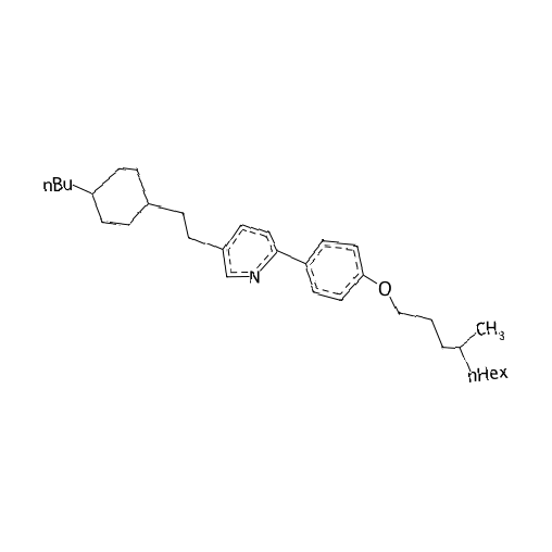 CCCCCCC(C)CCCOc1ccc(-c2ccc(CCC3CCC(CCCC)CC3)cn2)cc1